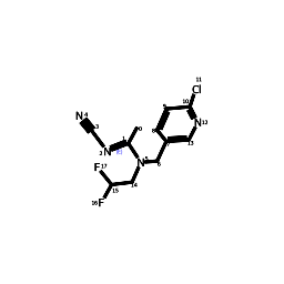 C/C(=N\C#N)N(Cc1ccc(Cl)nc1)CC(F)F